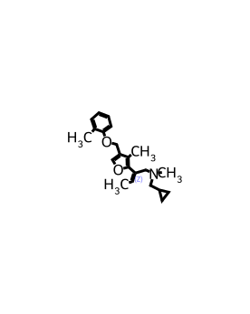 C/C=C(/CN(C)CC1CC1)c1occ(COc2ccccc2C)c1C